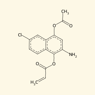 C=CC(=O)Oc1c(N)cc(OC(C)=O)c2cc(Cl)ccc12